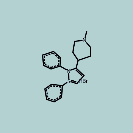 Br.CN1CCC(C2=CC=S(c3ccccc3)N2c2ccccc2)CC1